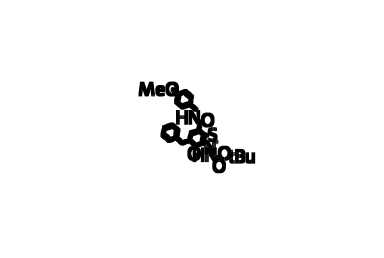 COc1ccc(CNC(=O)C2=CC(Cc3ccccc3)C(=O)C3=C2SCN3NC(=O)OC(C)(C)C)cc1